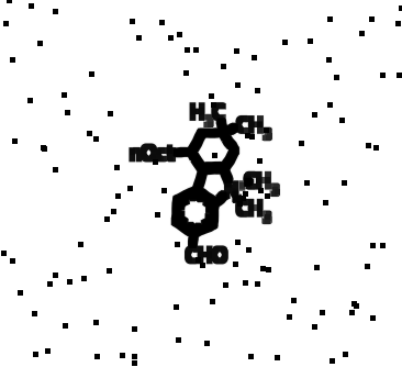 CCCCCCCCC1CC(C)(C)CC2=C1c1ccc(C=O)cc1[N+]2(C)C